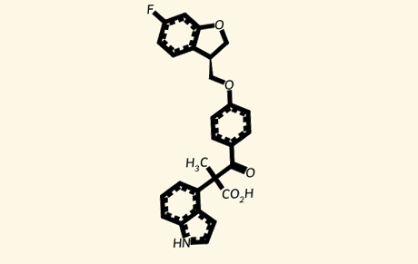 CC(C(=O)O)(C(=O)c1ccc(OC[C@@H]2COc3cc(F)ccc32)cc1)c1cccc2[nH]ccc12